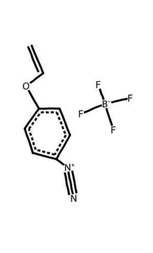 C=COc1ccc([N+]#N)cc1.F[B-](F)(F)F